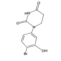 O=C1CCN(c2ccc(Br)c(O)c2)C(=O)N1